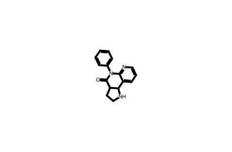 O=C1C2CCNC2c2cccnc2N1c1ccccc1